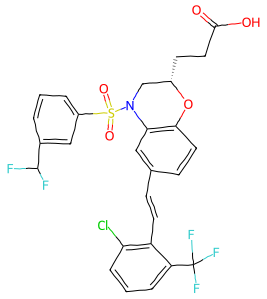 O=C(O)CC[C@H]1CN(S(=O)(=O)c2cccc(C(F)F)c2)c2cc(/C=C/c3c(Cl)cccc3C(F)(F)F)ccc2O1